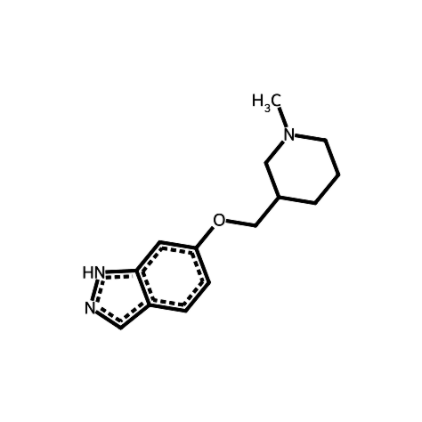 CN1CCCC(COc2ccc3cn[nH]c3c2)C1